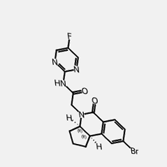 O=C(CN1C(=O)c2ccc(Br)cc2[C@H]2CCC[C@H]21)Nc1ncc(F)cn1